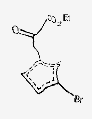 CCOC(=O)C(=O)c1ccc(Br)s1